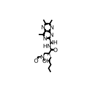 CCCCC[C@H](CN(O)C=O)C(=O)NNc1nc(C)c2nc(C)c(C)nc2n1